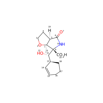 C[C@]12OCC[C@H]1C(=O)N[C@]2(C(=O)O)[C@@H](O)[C@@H]1C=CCCC1